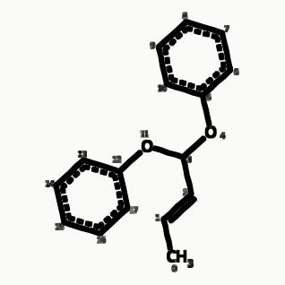 CC=CC(Oc1ccccc1)Oc1ccccc1